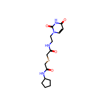 O=C(CSCC(=O)NC1CCCC1)NCCn1ccc(=O)[nH]c1=O